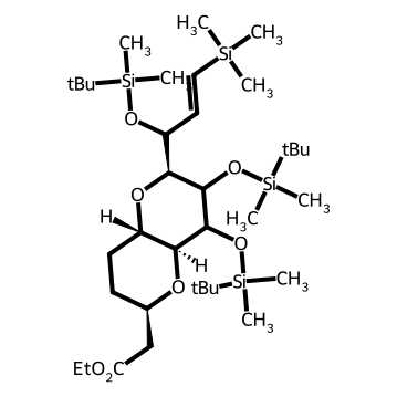 CCOC(=O)C[C@H]1CC[C@@H]2O[C@@H](C(/C=C/[Si](C)(C)C)O[Si](C)(C)C(C)(C)C)C(O[Si](C)(C)C(C)(C)C)C(O[Si](C)(C)C(C)(C)C)[C@H]2O1